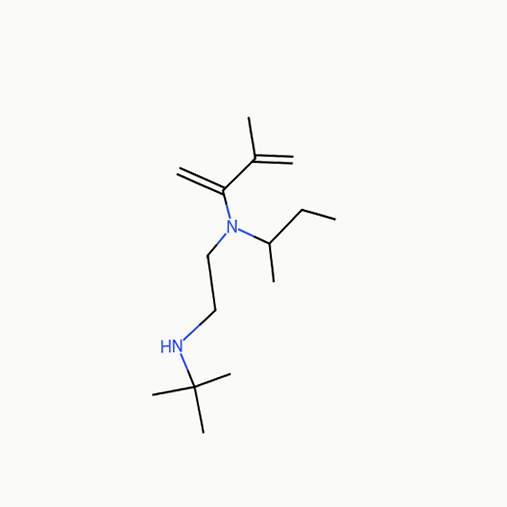 C=C(C)C(=C)N(CCNC(C)(C)C)C(C)CC